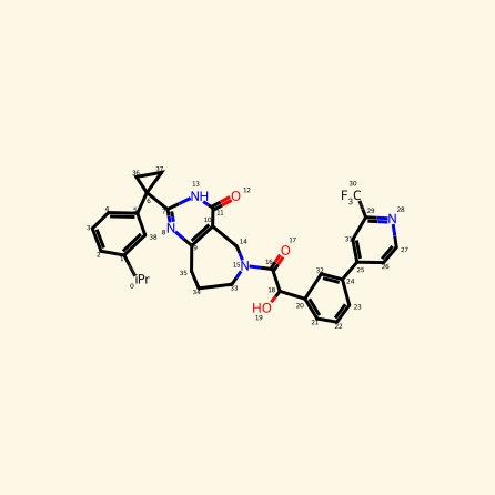 CC(C)c1cccc(C2(c3nc4c(c(=O)[nH]3)CN(C(=O)C(O)c3cccc(-c5ccnc(C(F)(F)F)c5)c3)CCC4)CC2)c1